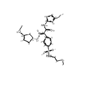 COCCNS(=O)(=O)c1ccc(/C(=N\O[C@@H]2CC[C@@H](OC)C2)C(=O)Nc2ncc(F)s2)cc1